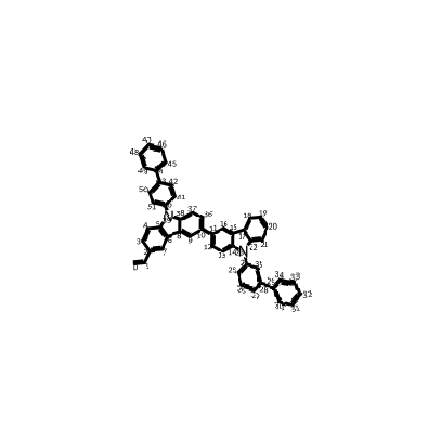 C=Cc1ccc2c(c1)c1cc(-c3ccc4c(c3)c3ccccc3n4-c3cccc(-c4ccccc4)c3)ccc1n2-c1ccc(-c2ccccc2)cc1